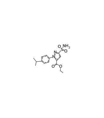 CCOC(=O)c1cc(S(N)(=O)=O)nn1-c1ccc(C(C)C)cc1